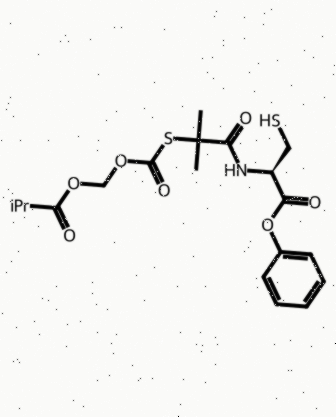 CC(C)C(=O)OCOC(=O)SC(C)(C)C(=O)N[C@@H](CS)C(=O)Oc1ccccc1